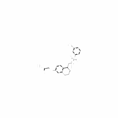 O=C(O)COc1ccc2c(c1)CCCC2CNS(=O)(=O)c1cccc(Cl)c1